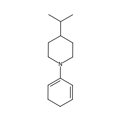 CC(C)C1CCN(C2=CCCC=C2)CC1